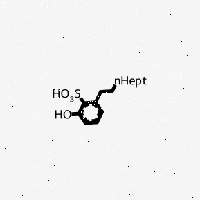 CCCCCCCCCc1cccc(O)c1S(=O)(=O)O